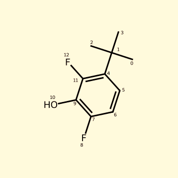 CC(C)(C)c1ccc(F)c(O)c1F